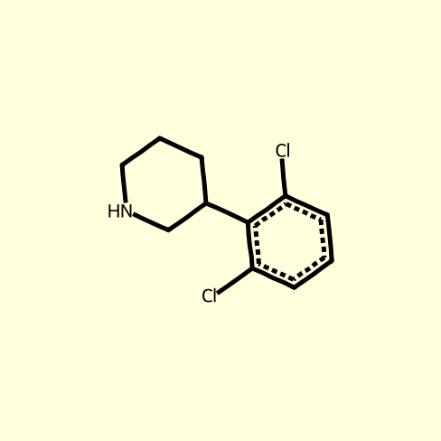 Clc1cccc(Cl)c1C1CCCNC1